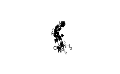 CCn1c(CNC(=O)c2nc(Cl)c(N)nc2N)[n+](CC)c2cc(C(=O)N3CCN(c4ccccn4)CC3)c(F)cc21